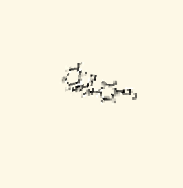 O=C(Nc1ccc(C(F)(F)F)cc1)NC1C=CCCC1